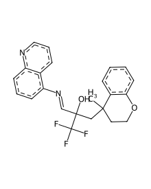 CC1(CC(O)(C=Nc2cccc3ncccc23)C(F)(F)F)CCOc2ccccc21